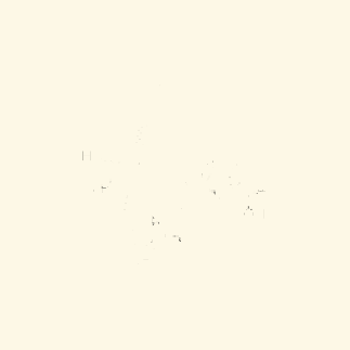 CCCC#CC[C@H](C)[C@H](O)/C=C/[C@H]1CC(F)(F)C(=O)N1CCCc1ccc(C(=O)O)s1